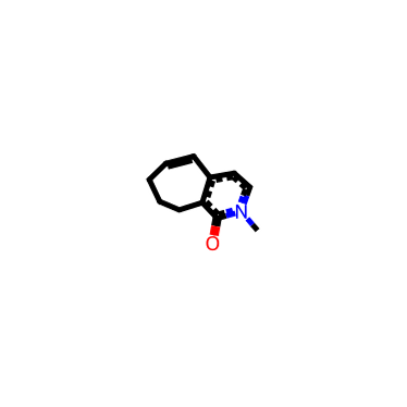 Cn1ccc2c(c1=O)CCCC=C2